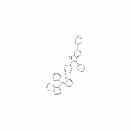 c1ccc(-c2ccc3c(c2)oc2c4ccc(-c5c6ccccc6c(-c6cccc7ccccc67)c6ccccc56)cc4c4ccccc4c32)cc1